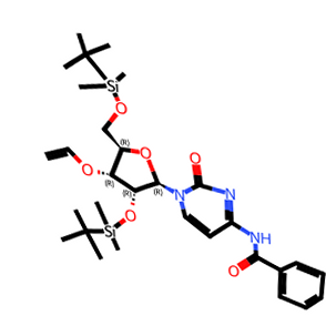 C=CO[C@H]1[C@@H](O[Si](C)(C)C(C)(C)C)[C@H](n2ccc(NC(=O)c3ccccc3)nc2=O)O[C@@H]1CO[Si](C)(C)C(C)(C)C